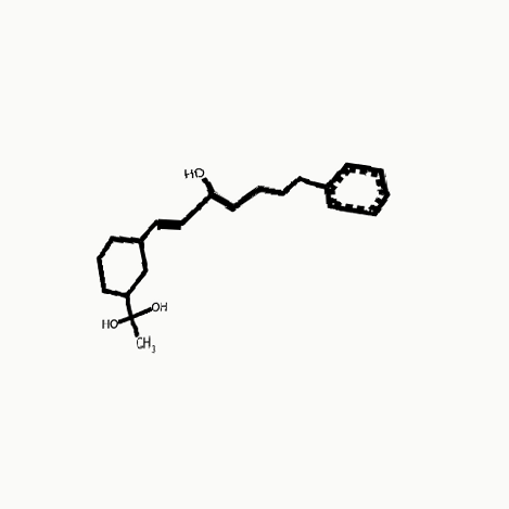 CC(O)(O)C1CCCC(C=CC(O)CCCCc2ccccc2)C1